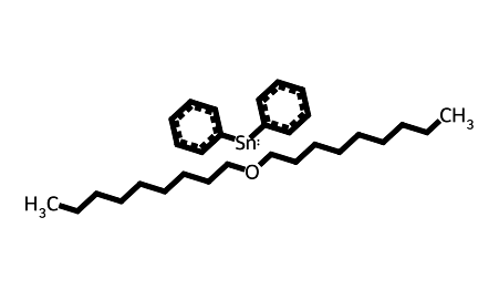 CCCCCCCCCOCCCCCCCCC.c1cc[c]([Sn][c]2ccccc2)cc1